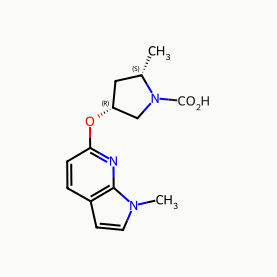 C[C@H]1C[C@@H](Oc2ccc3ccn(C)c3n2)CN1C(=O)O